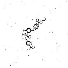 CCCOC(=O)N1CCN(Cc2ccc(F)c(NC(=O)Nc3ccc(C(C)=O)nc3)c2)CC1